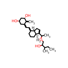 C=C1/C(=C\C=C2/CCC[C@]3(C)C(C(C)OCC(O)C(C)CC)=CC[C@@H]23)C[C@@H](O)C[C@@H]1O